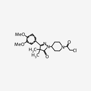 COc1ccc(C2=NN(C3CCN(C(=O)CCl)CC3)C(=O)C2(C)C)cc1OC